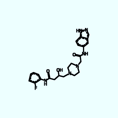 O=C(CN1CCN(CC(O)CC(=O)Nc2ccccc2F)CC1)Nc1ccc2[nH]ncc2c1